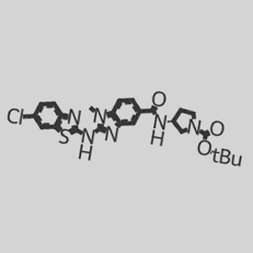 Cn1c(Nc2nc3ccc(Cl)cc3s2)nc2cc(C(=O)N[C@@H]3CCN(C(=O)OC(C)(C)C)C3)ccc21